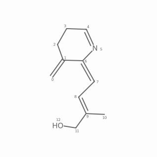 C=C1CCC=N/C1=C/C=C(\C)CO